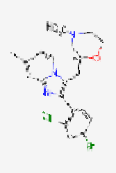 Cc1ccn2c(C[C@H]3CN(C(=O)O)CCO3)c(-c3ccc(Br)cc3Cl)nc2c1